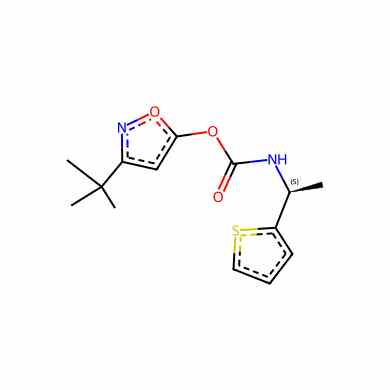 C[C@H](NC(=O)Oc1cc(C(C)(C)C)no1)c1cccs1